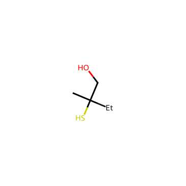 CCC(C)(S)CO